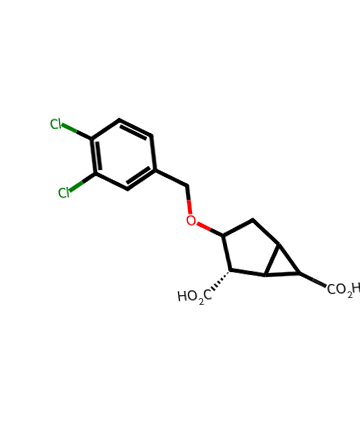 O=C(O)C1C2CC(OCc3ccc(Cl)c(Cl)c3)[C@@H](C(=O)O)C21